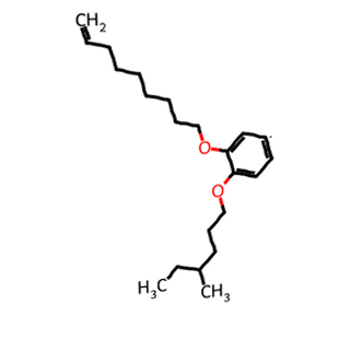 C=CCCCCCCCOc1c[c]ccc1OCCCC(C)CC